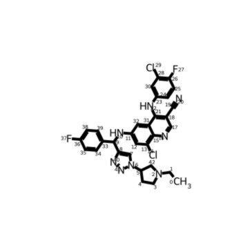 CCN1CCC(n2cc(C(Nc3cc(Cl)c4ncc(C#N)c(Nc5ccc(F)c(Cl)c5)c4c3)c3ccc(F)cc3)nn2)C1